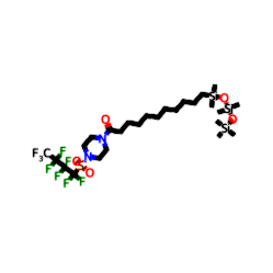 C[Si](C)(C)O[Si](C)(C)O[Si](C)(C)CCCCCCCCCCC(=O)N1CCN(S(=O)(=O)C(F)(F)C(F)(F)C(F)(F)C(F)(F)F)CC1